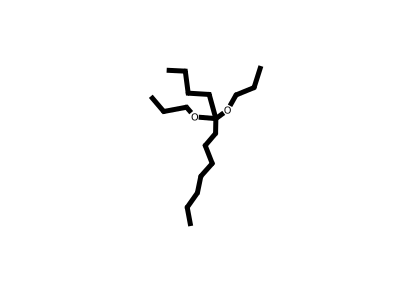 CCCCCCCC(CCCC)(OCCC)OCCC